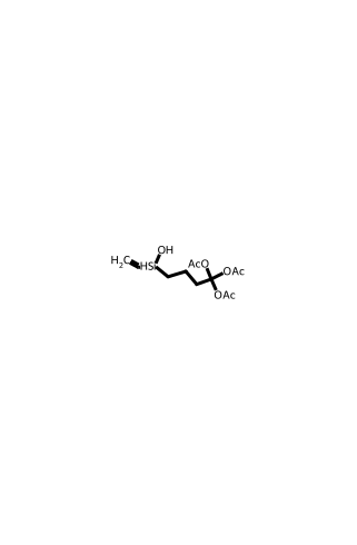 C=C[SiH](O)CCCC(OC(C)=O)(OC(C)=O)OC(C)=O